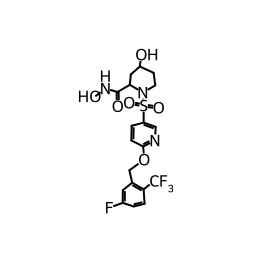 O=C(NO)C1CC(O)CCN1S(=O)(=O)c1ccc(OCc2cc(F)ccc2C(F)(F)F)nc1